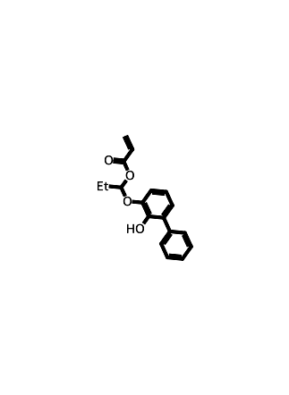 C=CC(=O)OC(CC)Oc1cccc(-c2ccccc2)c1O